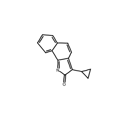 O=C1N=c2c(ccc3ccccc23)=C1C1CC1